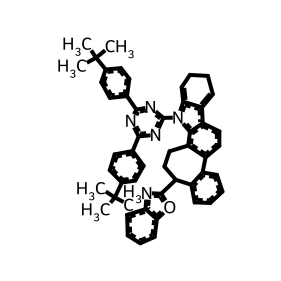 CC(C)(C)c1ccc(-c2nc(-c3ccc(C(C)(C)C)cc3)nc(-n3c4c(c5ccc6c(c53)CCC(c3nc5ccccc5o3)c3ccccc3-6)=CCCC=4)n2)cc1